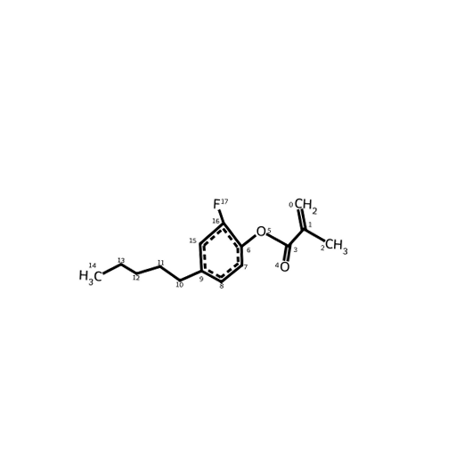 C=C(C)C(=O)Oc1ccc(CCCCC)cc1F